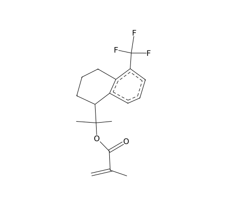 C=C(C)C(=O)OC(C)(C)C1CCCc2c1cccc2C(F)(F)F